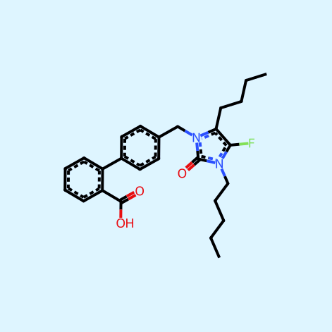 CCCCCn1c(F)c(CCCC)n(Cc2ccc(-c3ccccc3C(=O)O)cc2)c1=O